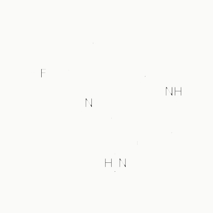 Nc1c[nH]c2ccc(F)nc12